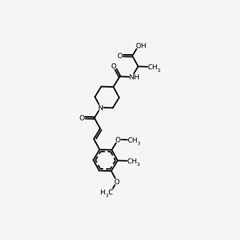 COc1ccc(/C=C/C(=O)N2CCC(C(=O)NC(C)C(=O)O)CC2)c(OC)c1C